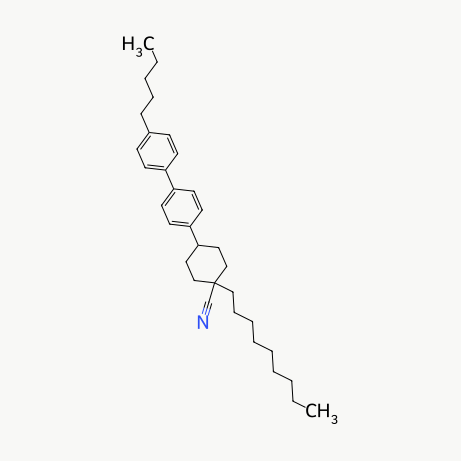 CCCCCCCCCC1(C#N)CCC(c2ccc(-c3ccc(CCCCC)cc3)cc2)CC1